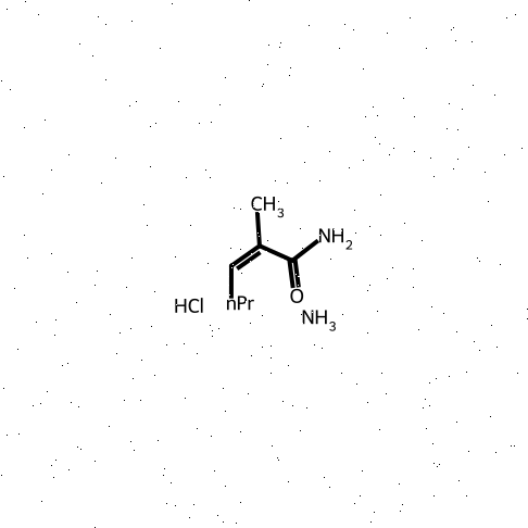 CCCC=C(C)C(N)=O.Cl.N